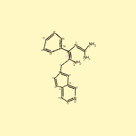 NC(N)=N/C(=C(\N)Cc1ccc2ncncc2c1)c1ccccc1